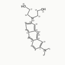 CN(C)c1ccc2nc3ccc(N(CCO)CCO)cc3[o+]c2c1